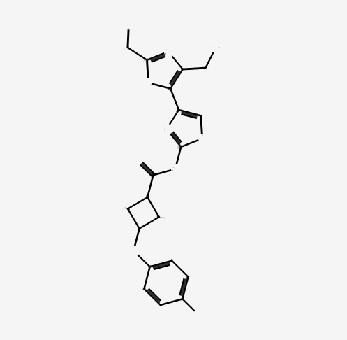 O=C(Nc1nc(-c2sc(CO)nc2CO)cs1)C1CC(Oc2ccc(C(F)(F)F)cc2)C1